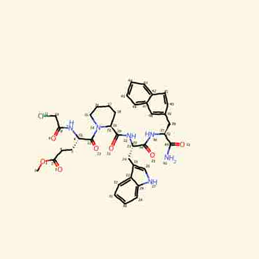 COC(=O)CC[C@H](NC(=O)CCl)C(=O)N1CCCC[C@H]1C(=O)N[C@@H](Cc1c[nH]c2ccccc12)C(=O)N[C@@H](Cc1ccc2ccccc2c1)C(N)=O